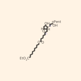 CCCCC[C@H](O)/C=C/[C@@H]1[C@H]2C/C(=C/CCCC(=O)OCCCCCCCCCC(=O)OCC)O[C@@H]2C[C@H]1O